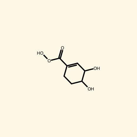 O=C(OO)C1=CC(O)C(O)CC1